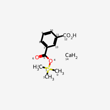 CS(C)(C)OC(=O)c1cccc(C(=O)O)c1.[CaH2]